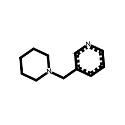 [c]1ncccc1CN1CCCCC1